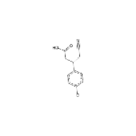 N#CC[C@@H](CC(=O)O)c1ccc(Cl)cc1